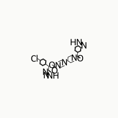 O=C(OC(c1ccc(Cl)cc1)c1c[nH]nn1)N1CCN(C2CCN(C(=O)c3ccc4[nH]cnc4c3)CC2)CC1